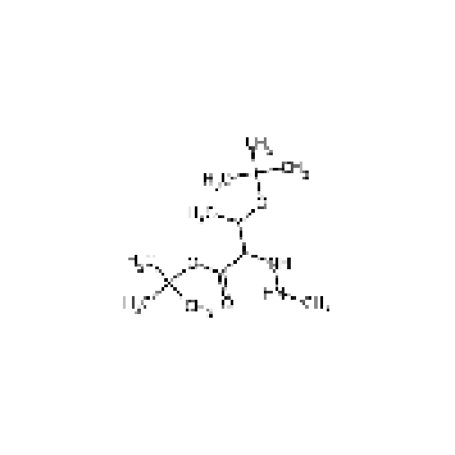 CNNC(C(=O)OC(C)(C)C)C(C)OC(C)(C)C